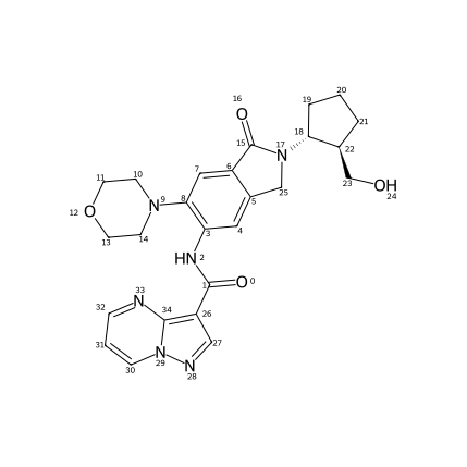 O=C(Nc1cc2c(cc1N1CCOCC1)C(=O)N([C@@H]1CCC[C@H]1CO)C2)c1cnn2cccnc12